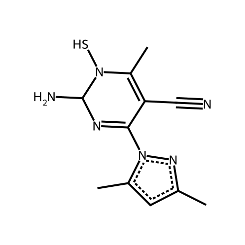 CC1=C(C#N)C(n2nc(C)cc2C)=NC(N)N1S